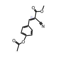 COC(=O)/C(C#N)=C/c1ccc(OC(C)=O)cc1